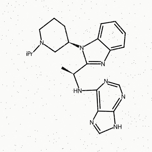 CC(C)N1CCC[C@@H](n2c([C@H](C)Nc3ncnc4[nH]cnc34)nc3ccccc32)C1